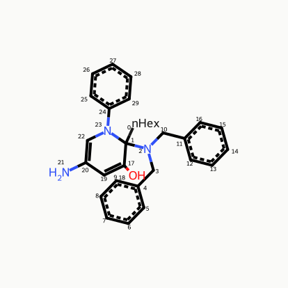 CCCCCCC1(N(Cc2ccccc2)Cc2ccccc2)C(O)=CC(N)=CN1c1ccccc1